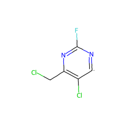 Fc1n[c]c(Cl)c(CCl)n1